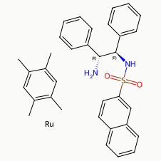 Cc1cc(C)c(C)cc1C.N[C@H](c1ccccc1)[C@H](NS(=O)(=O)c1ccc2ccccc2c1)c1ccccc1.[Ru]